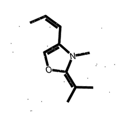 C/C=C\C1=COC(=C(C)C)N1C